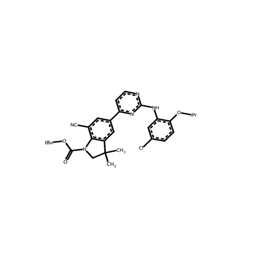 CC(C)Oc1ccc(Cl)cc1Nc1nccc(-c2cc(C#N)c3c(c2)C(C)(C)CN3C(=O)OC(C)(C)C)n1